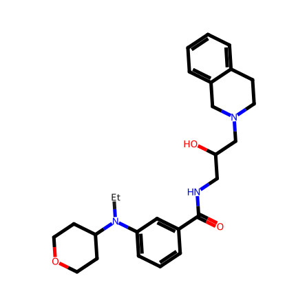 CCN(c1cccc(C(=O)NCC(O)CN2CCc3ccccc3C2)c1)C1CCOCC1